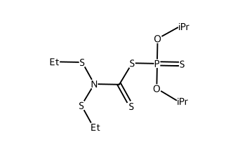 CCSN(SCC)C(=S)SP(=S)(OC(C)C)OC(C)C